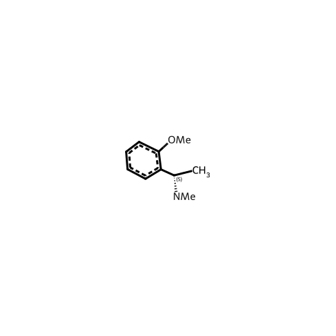 CN[C@@H](C)c1ccccc1OC